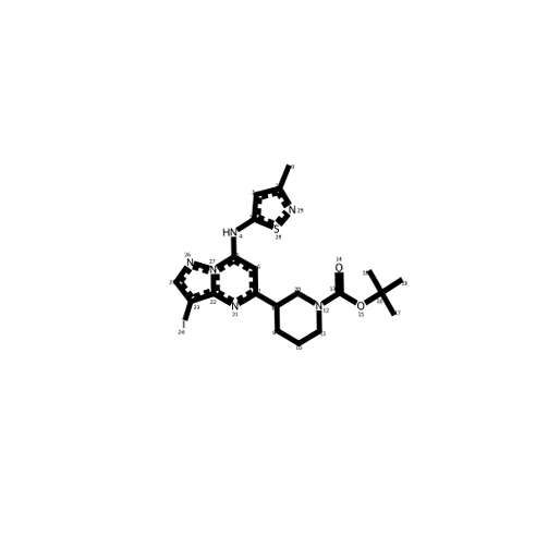 Cc1cc(Nc2cc(C3CCCN(C(=O)OC(C)(C)C)C3)nc3c(I)cnn23)sn1